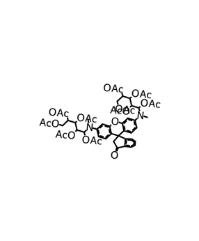 CC(=O)OCC(OC(C)=O)C(OC(C)=O)C(OC(C)=O)C(OC(C)=O)N(C)c1ccc2c(c1)Oc1cc(N(C)C(OC(C)=O)C(OC(C)=O)C(OC(C)=O)C(COC(C)=O)OC(C)=O)ccc1C21CC(=O)c2ccccc21